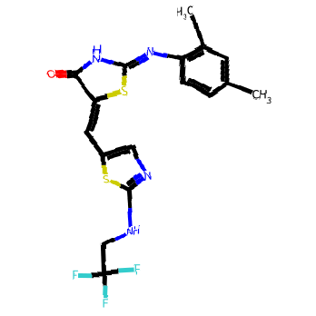 Cc1ccc(/N=C2/NC(=O)/C(=C/c3cnc(NCC(F)(F)F)s3)S2)c(C)c1